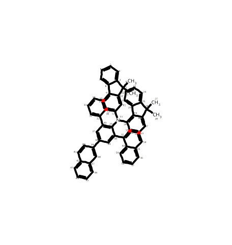 CC1(C)c2ccccc2-c2ccc(N(c3cccc4c3-c3ccccc3C4(C)C)c3c(-c4ccccc4)cc(-c4ccc5ccccc5c4)cc3-c3cccc4ccccc34)cc21